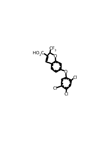 O=C(O)C1=Cc2ccc(Oc3cc(Cl)c(Cl)cc3Cl)cc2OC1C(F)(F)F